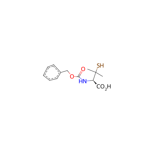 CC(C)(S)[C@H](NC(=O)OCc1ccccc1)C(=O)O